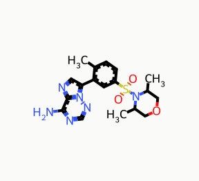 Cc1ccc(S(=O)(=O)N2C(C)COCC2C)cc1-c1cnc2c(N)ncnn12